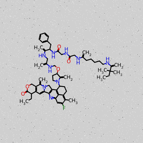 C=C(CCCCCNC(=C)C(C)(C)CC)NCC(=O)NCC(=O)NC(Cc1ccccc1)C(=C)NCC(=C)NCOC1CCN(C2CCc3c(C)c(F)cc4nc5c(c2c34)CN2C(=C)C3=C(C=C52)C(CC)C(=O)OC3)C1=C